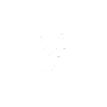 COc1ccc(COC(=O)C2C(NC(=O)SCc3ccccc3)=CS[C@H]3C(NC(=O)Cc4cccs4)C(=O)N23)cc1